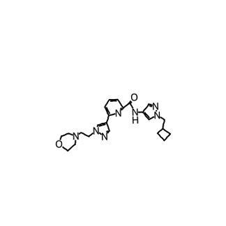 O=C(Nc1cnn(CC2CCC2)c1)c1cccc(-c2cnn(CCN3CCOCC3)c2)n1